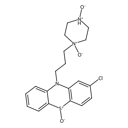 [O-][NH+]1CC[N+]([O-])(CCCN2c3ccccc3[S+]([O-])c3ccc(Cl)cc32)CC1